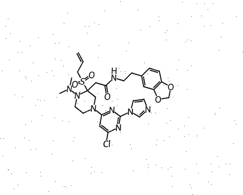 C=CCS(=O)(=O)C1(CC(=O)NCCc2ccc3c(c2)OCO3)CN(c2cc(Cl)nc(-n3ccnc3)n2)CCN1N(C)C